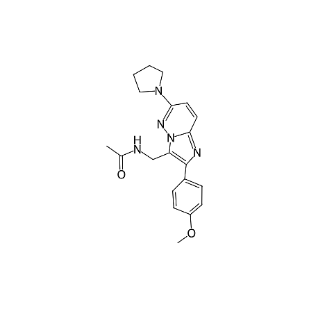 COc1ccc(-c2nc3ccc(N4CCCC4)nn3c2CNC(C)=O)cc1